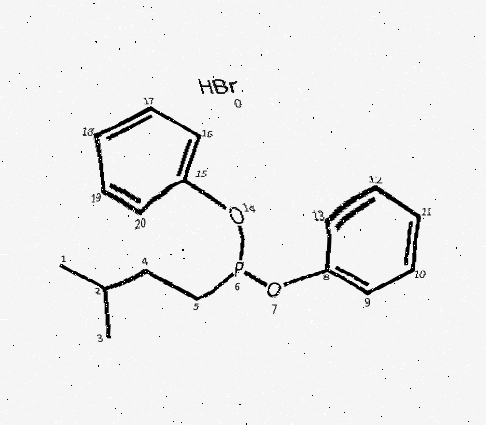 Br.CC(C)CCP(Oc1ccccc1)Oc1ccccc1